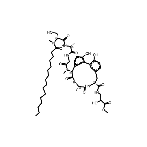 CCCCCCCCCCCCCCCC(=O)N(C)[C@H](CO)C(=O)N[C@H](C)C(=O)NCC(=O)N(C)[C@@H]1C(=O)N[C@@H](C)C(=O)N[C@H](C(=O)NCC(O)C(=O)OC)Cc2ccc(O)c(c2)-c2cc1ccc2O